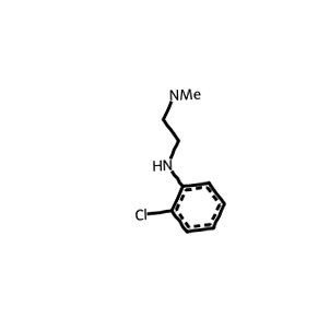 CNCCNc1ccccc1Cl